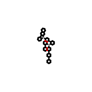 c1ccc(-c2ccc(-c3ccc(N(c4ccccc4-c4ccccc4)c4ccccc4-c4ccc(-n5c6ccccc6c6cc7ccccc7cc65)cc4)cc3)cc2)cc1